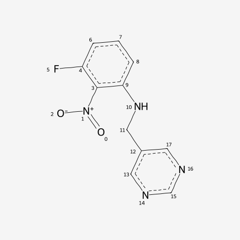 O=[N+]([O-])c1c(F)cccc1NCc1cncnc1